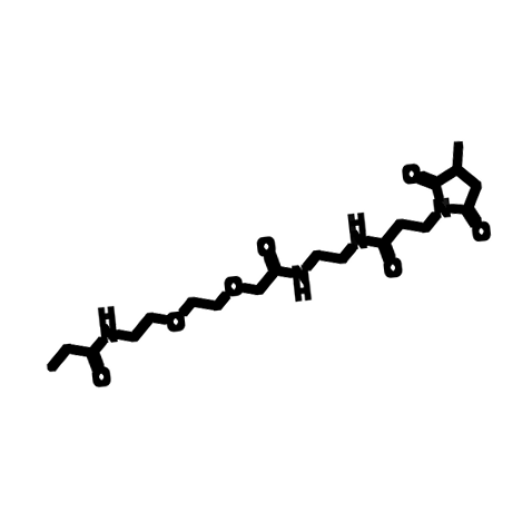 CCC(=O)NCCOCCOCC(=O)NCCNC(=O)CCN1C(=O)CC(C)C1=O